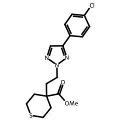 COC(=O)C1(CCn2ncc(-c3ccc(Cl)cc3)n2)CCSCC1